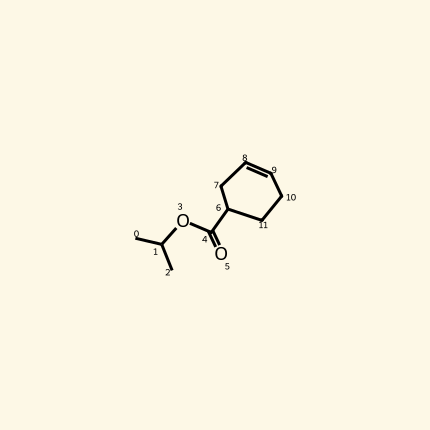 CC(C)OC(=O)C1CC=CCC1